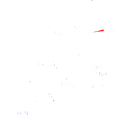 NC(=O)O.Nc1ccn([C@@H]2O[C@H](CO)[C@@H](O)[C@@H]2O)c(=O)n1